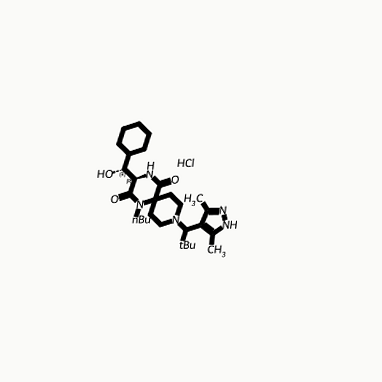 CCCCN1C(=O)[C@@H]([C@H](O)C2CCCCC2)NC(=O)C12CCN(C(c1c(C)n[nH]c1C)C(C)(C)C)CC2.Cl